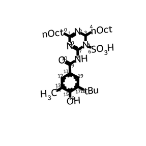 CCCCCCCCC1=NC(CCCCCCCC)N(S(=O)(=O)O)C(NC(=O)c2cc(C)c(O)c(C(C)(C)C)c2)=N1